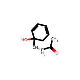 CC(C)=O.CC1(O)C=CC=CC1